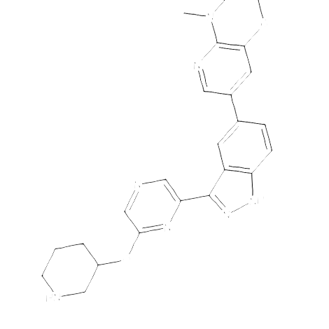 CN1CCOc2cc(-c3ccc4[nH]nc(-c5cncc(OC6CCCNC6)n5)c4c3)cnc21